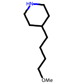 COCCCCC1CCNCC1